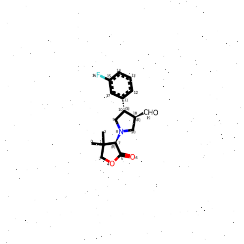 CC1(C)COC(=O)[C@@H]1N1C[C@H](c2cccc(F)c2)[C@@H](C=O)C1